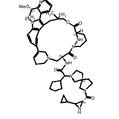 CCn1c(-c2cccnc2[C@H](C)OC)c2c3cc(ccc31)C1=CCCN(C1)C[C@H](NC(=O)C(C1CCCC1)N1CC[C@]3(CCN(C(=O)[C@@H]4NC4C4CC4)C3)C1)C(=O)N1CCC[C@H](N1)C(=O)OCC(C)(C)C2